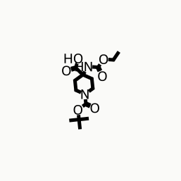 CCOC(=O)NC1(C(=O)O)CCN(C(=O)OC(C)(C)C)CC1